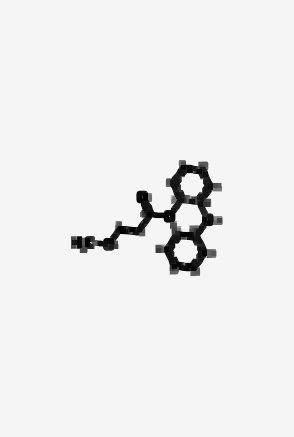 COC=CC(=O)Oc1ccccc1Oc1ccccc1